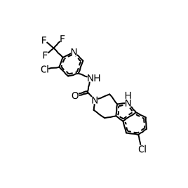 O=C(Nc1cnc(C(F)(F)F)c(Cl)c1)N1CCc2c([nH]c3ccc(Cl)cc23)C1